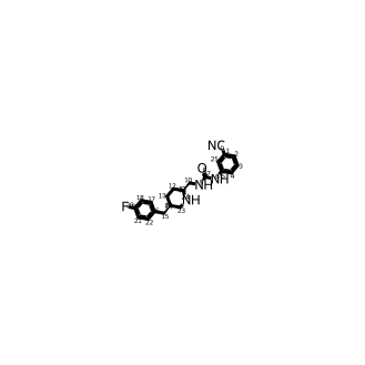 N#Cc1cccc(NC(=O)NC[C@@H]2CC[C@H](Cc3ccc(F)cc3)CN2)c1